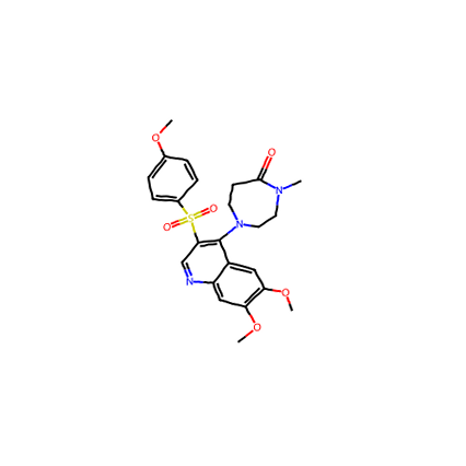 COc1ccc(S(=O)(=O)c2cnc3cc(OC)c(OC)cc3c2N2CCC(=O)N(C)CC2)cc1